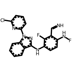 N=Cc1c(NF)ccc(Nc2nn(-c3cccc(Cl)n3)c3ccccc23)c1F